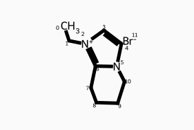 CC[n+]1ccn2c1CCCC2.[Br-]